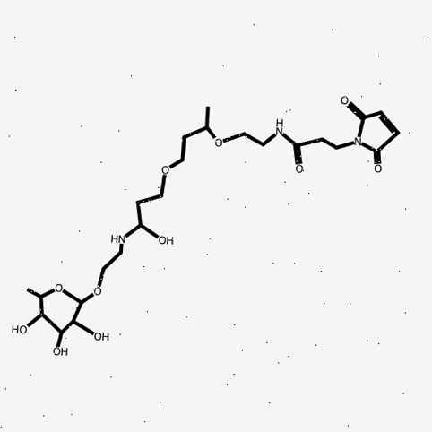 CC(CCOCCC(O)NCCOC1OC(C)C(O)C(O)C1O)OCCNC(=O)CCN1C(=O)C=CC1=O